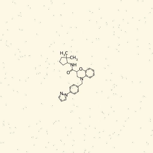 CC1(C)CCCC1NC(=O)C1CN(Cc2ccc(-n3cccn3)cc2)c2ccccc2O1